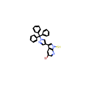 Sn1cc(-c2cnn(C(c3ccccc3)(c3ccccc3)c3ccccc3)c2)c2cc(Br)cnc21